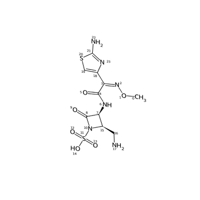 CON=C(C(=O)N[C@@H]1C(=O)N(S(=O)(=O)O)[C@@H]1CN)c1csc(N)n1